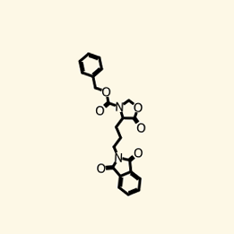 O=C1OCN(C(=O)OCc2ccccc2)C1CCCN1C(=O)c2ccccc2C1=O